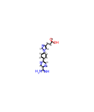 N=C(N)c1cnc(-c2ccc(-n3cnc(CCC(=O)O)c3)cc2)cn1